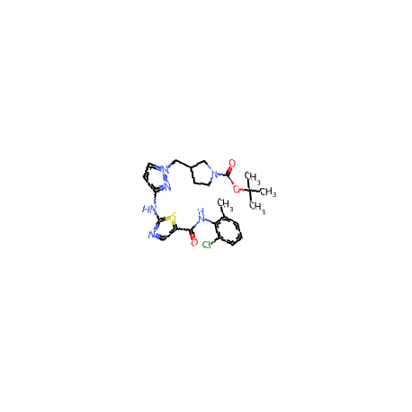 Cc1cccc(Cl)c1NC(=O)c1cnc(Nc2ccn(CC3CCN(C(=O)OC(C)(C)C)C3)n2)s1